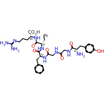 CC(C)C[C@H](NC(=O)[C@H](Cc1ccccc1)NC(=O)CNC(=O)CNC(=O)[C@@H](N)Cc1ccc(O)cc1)C(=O)N[C@H](CCCN=C(N)N)C(=O)O